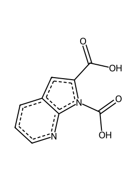 O=C(O)c1cc2cccnc2n1C(=O)O